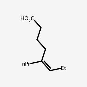 CCC=C(CCC)CCCC(=O)O